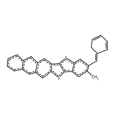 Cc1cc2c(cc1/C=C1/C=CC=CC1)sc1c3cc4cc5ccccc5cc4cc3sc21